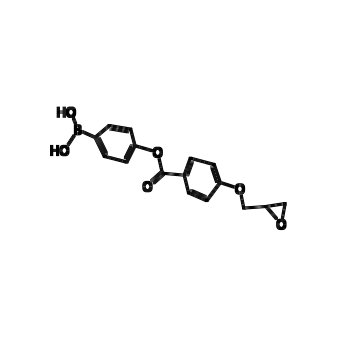 O=C(Oc1ccc(B(O)O)cc1)c1ccc(OCC2CO2)cc1